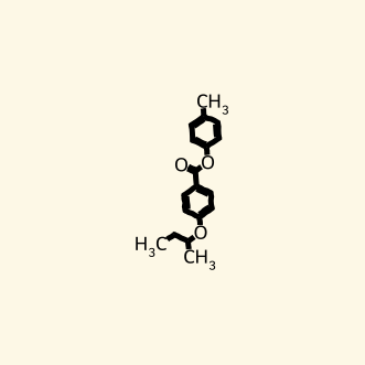 CCC(C)Oc1ccc(C(=O)Oc2ccc(C)cc2)cc1